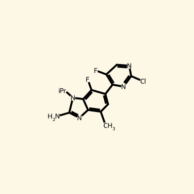 Cc1cc(-c2nc(Cl)ncc2F)c(F)c2c1nc(N)n2C(C)C